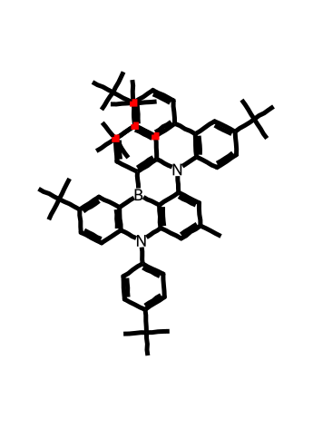 Cc1cc2c3c(c1)N(c1ccc(C(C)(C)C)cc1-c1ccc(C(C)(C)C)c(C(C)(C)C)c1)c1cc(C(C)(C)C)ccc1B3c1cc(C(C)(C)C)ccc1N2c1ccc(C(C)(C)C)cc1